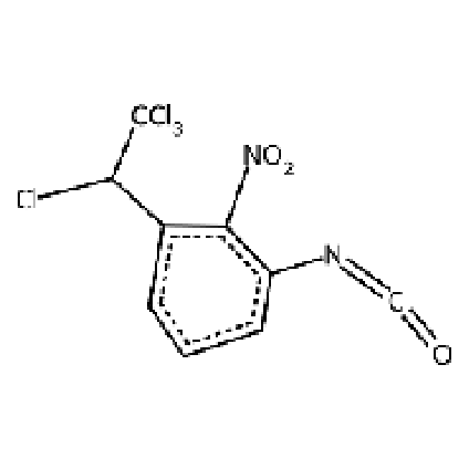 O=C=Nc1cccc(C(Cl)C(Cl)(Cl)Cl)c1[N+](=O)[O-]